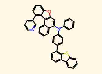 c1ccc(N(c2ccc(-c3cccc4c3sc3ccccc34)cc2)c2cc3oc4cccc(-c5cccnc5)c4c3c3ccccc23)cc1